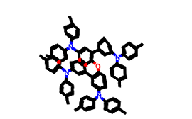 Cc1ccc(N(c2ccc(C)cc2)c2cccc(-c3cc(N(c4ccc(C)cc4)c4ccc(C)cc4)ccc3Oc3ccc(N(c4ccc(C)cc4)c4ccc(C)cc4)cc3-c3cccc(N(c4ccc(C)cc4)c4ccc(C)cc4)c3)c2)cc1